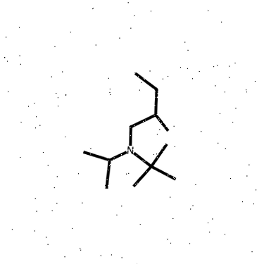 CCC(C)CN(C(C)C)C(C)(C)C